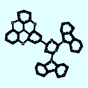 c1cc2c3c(c1)Oc1cc(-c4nc(-n5c6ccccc6c6ccccc65)nc(-n5c6ccccc6c6ccccc65)n4)cc4c1B3c1c(cccc1O4)O2